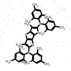 Cc1cc(C)c(B(c2sc3c(sc4c(C)c(B(c5c(C)cc(C)cc5C)c5c(C)cc(C)cc5C)sc43)c2C)c2c(C)cc(C)cc2C)c(C)c1